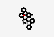 Cc1cc2c(c(-c3c(-c4ccccc4)nnnc3-c3ccccc3-c3ccccc3)c1C)Cc1ccccc1-2